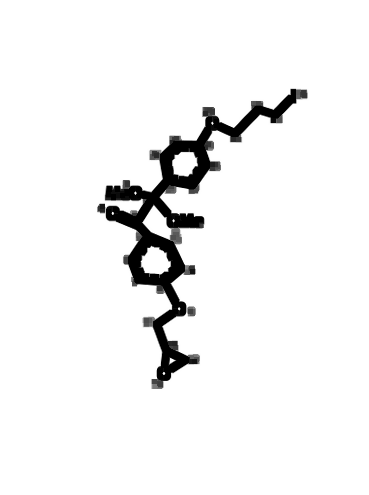 COC(OC)(C(=O)c1ccc(OCC2CO2)cc1)c1ccc(OCCCI)cc1